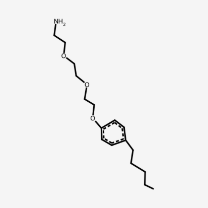 CCCCCc1ccc(OCCOCCOCCN)cc1